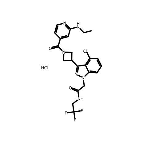 CCNc1cc(C(=O)N2CC(c3nn(CC(=O)NCC(F)(F)F)c4cccc(Cl)c34)C2)ccn1.Cl